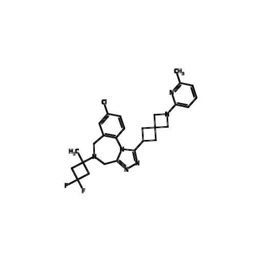 Cc1cccc(N2CC3(CC(c4nnc5n4-c4ccc(Cl)cc4CN(C4(C)CC(F)(F)C4)C5)C3)C2)n1